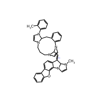 Cc1ccccc1N1C=CN2CCCN3C=CN(c4ccccc4CC21)C3/C=C1\c2ccc3c(oc4ccccc43)c2N2C=CN(C)C12